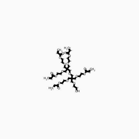 C=CC(=O)OCCOCC(COCCO)(COCCOC(=O)C=C)COCC(COCCOC(=O)C=C)(COCCOC(=O)C=C)COCCOC(=O)C=C